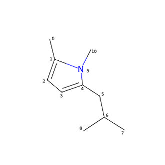 Cc1ccc(CC(C)C)n1C